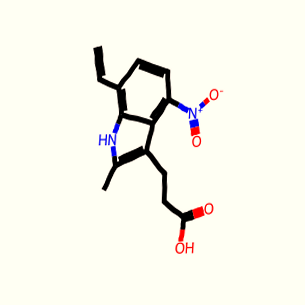 C=Cc1ccc([N+](=O)[O-])c2c(CCC(=O)O)c(C)[nH]c12